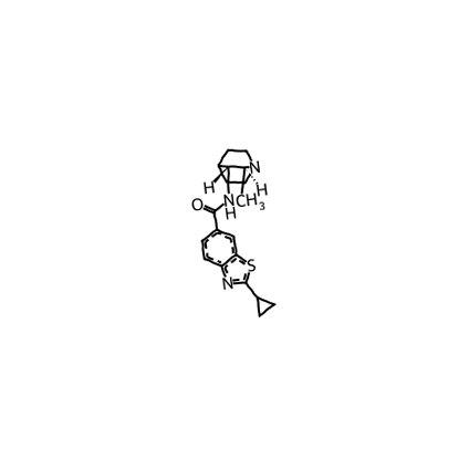 C[C@H]1[C@H](NC(=O)c2ccc3nc(C4CC4)sc3c2)C2CCN1CC2